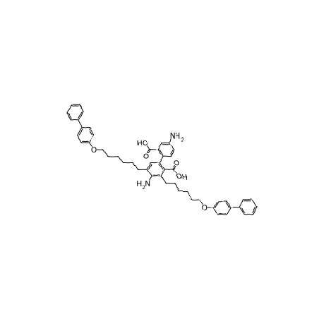 Nc1ccc(-c2cc(CCCCCCOc3ccc(-c4ccccc4)cc3)c(N)c(CCCCCCOc3ccc(-c4ccccc4)cc3)c2C(=O)O)c(C(=O)O)c1